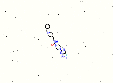 Nc1nc(N2CCN(C(=O)NCCC3CCN(Cc4ccccc4)CC3)CC2)ncc1F